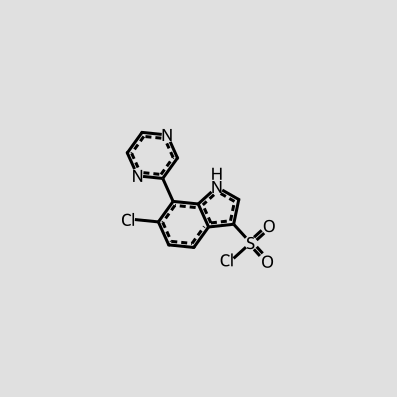 O=S(=O)(Cl)c1c[nH]c2c(-c3cnccn3)c(Cl)ccc12